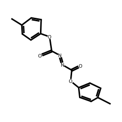 Cc1ccc(OC(=O)N=NC(=O)Oc2ccc(C)cc2)cc1